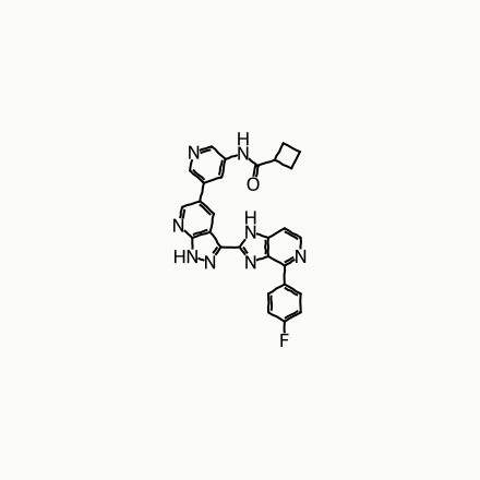 O=C(Nc1cncc(-c2cnc3[nH]nc(-c4nc5c(-c6ccc(F)cc6)nccc5[nH]4)c3c2)c1)C1CCC1